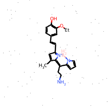 CCOc1cc(/C=C/C2=[N+]3[BH2-]n4cccc4C(CCN)=C3C(C)=C2)ccc1O